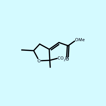 COC(=O)C=C1CC(C)OC1(C)C(=O)O